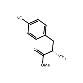 COC(=O)[C@@H](C)Cc1ccc(C#N)cc1